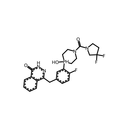 O=C(N1CC[PH](O)(c2cc(Cc3n[nH]c(=O)c4ccccc34)ccc2F)CC1)N1CCC(F)(F)C1